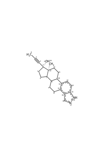 CC#C[C@]1(O)CCC2C3CCc4c(ccc5[nH]ncc45)C3CC[C@@]21C